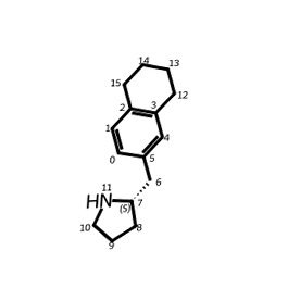 c1cc2c(cc1C[C@@H]1CCCN1)CCCC2